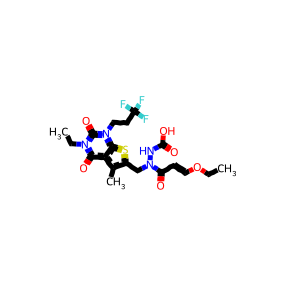 CCOC=CC(=O)N(Cc1sc2c(c1C)c(=O)n(CC)c(=O)n2CCC(F)(F)F)NC(=O)O